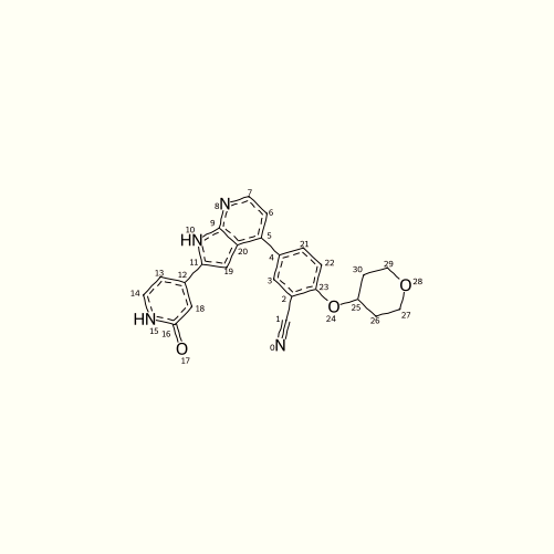 N#Cc1cc(-c2ccnc3[nH]c(-c4cc[nH]c(=O)c4)cc23)ccc1OC1CCOCC1